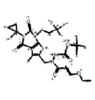 CCO/C=C/C(=O)N(Cc1sc2c(c1C)c(=O)n(C1(I)CC1)c(=O)n2CCC(F)(F)F)NC(=O)OC(C)(C)C